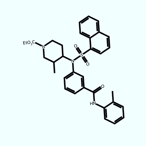 CCOC(=O)N1CCC(N(c2cccc(C(=O)Nc3ccccc3C)c2)S(=O)(=O)c2cccc3ccccc23)C(C)C1